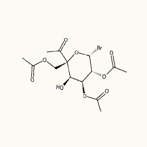 CC(=O)OC[C@@]1(C(C)=O)O[C@H](Br)[C@H](OC(C)=O)[C@@H](OC(C)=O)[C@H]1O